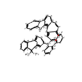 CC1(C)c2ccccc2-c2ccc(N(c3ccc4ccc5ccc6c7ccccc7[se]c6c5c4c3)c3ccccc3-c3ccccc3)cc21